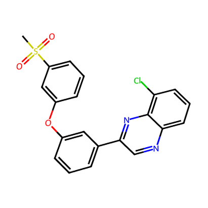 CS(=O)(=O)c1cccc(Oc2cccc(-c3cnc4cccc(Cl)c4n3)c2)c1